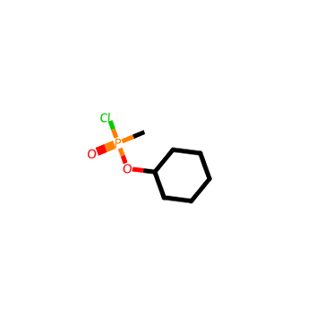 CP(=O)(Cl)OC1CCCCC1